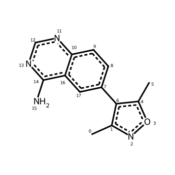 Cc1noc(C)c1-c1ccc2ncnc(N)c2c1